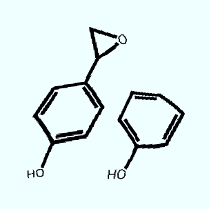 Oc1ccc(C2CO2)cc1.Oc1ccccc1